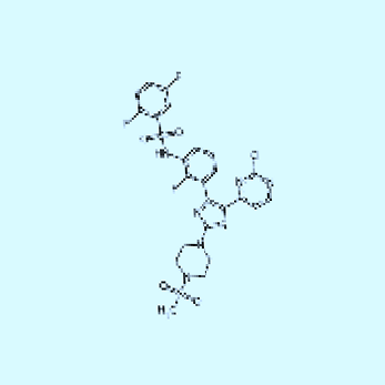 CS(=O)(=O)N1CCN(c2nc(-c3cccc(NS(=O)(=O)c4cc(F)ccc4F)c3F)c(-c3ccnc(Cl)n3)s2)CC1